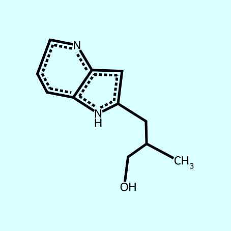 CC(CO)Cc1cc2ncccc2[nH]1